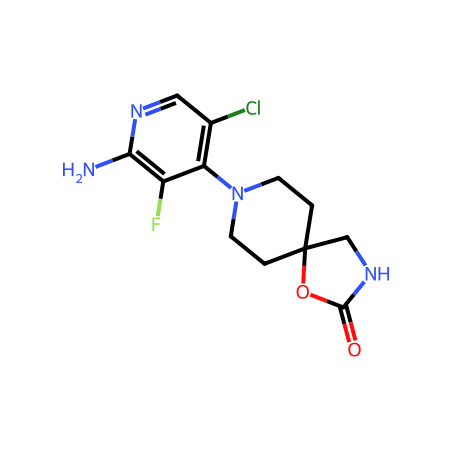 Nc1ncc(Cl)c(N2CCC3(CC2)CNC(=O)O3)c1F